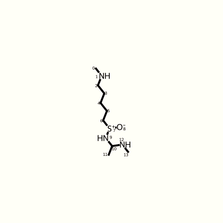 CNCCCCC[S+]([O-])NC(C)NC